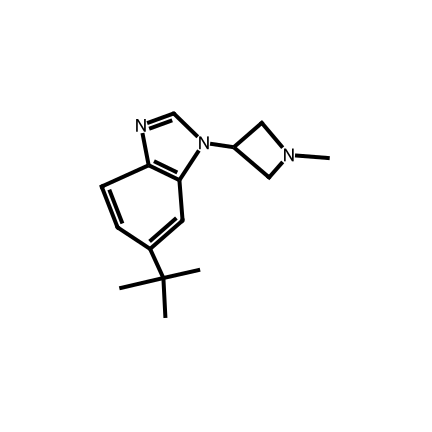 CN1CC(n2cnc3ccc(C(C)(C)C)cc32)C1